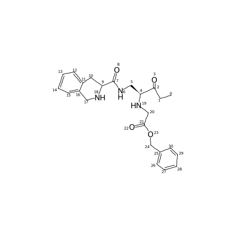 CCC(=O)[C@H](CNC(=O)C1Cc2ccccc2CN1)NCC(=O)OCc1ccccc1